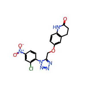 O=C1CCc2cc(OCc3nnnn3-c3ccc([N+](=O)[O-])cc3Cl)ccc2N1